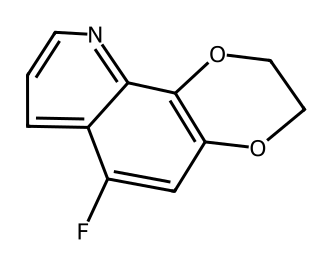 Fc1cc2c(c3ncccc13)OCCO2